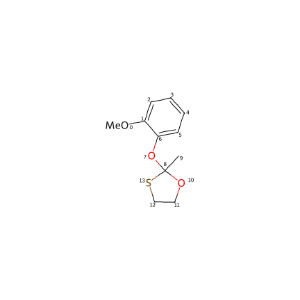 COc1ccccc1OC1(C)OCCS1